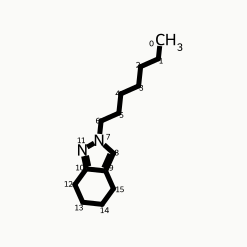 CCCCCCCn1cc2c(n1)CCCC2